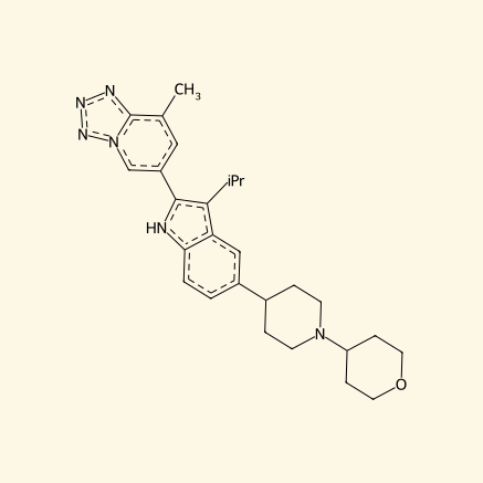 Cc1cc(-c2[nH]c3ccc(C4CCN(C5CCOCC5)CC4)cc3c2C(C)C)cn2nnnc12